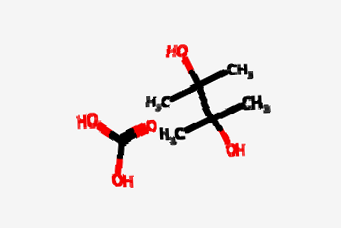 CC(C)(O)C(C)(C)O.O=C(O)O